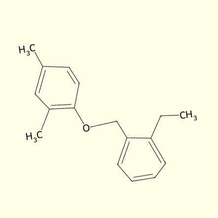 CCc1ccccc1COc1ccc(C)cc1C